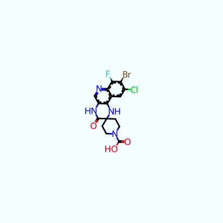 O=C(O)N1CCC2(CC1)Nc1c(cnc3c(F)c(Br)c(Cl)cc13)NC2=O